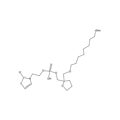 CCCCCCCCCCCCCCCCCCOCC1(COP(=O)(O)OCCn2ccs[c+]2[O-])CCCO1